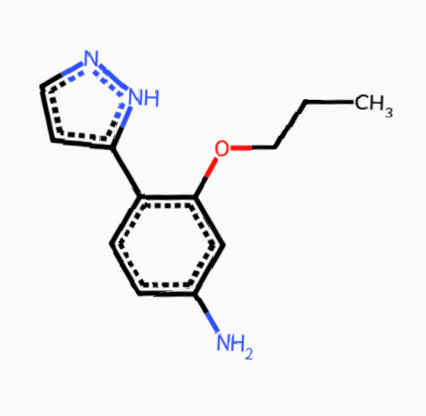 CCCOc1cc(N)ccc1-c1ccn[nH]1